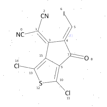 N#CC(C#N)=C1/C(=C\I)C(=O)c2c(Cl)sc(Cl)c21